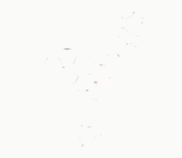 C=C(C)c1cccc(-c2cnc(NCCc3ccccc3)c(=O)n2CC(=O)NCc2cc3cnccc3[nH]2)c1